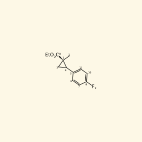 CCOC(=O)[C@]1(C)CC1c1ccc(F)cc1